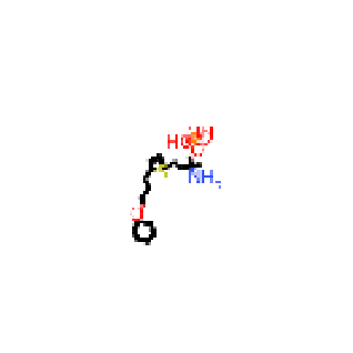 CC(N)(CCc1ccc(CCCCOc2ccccc2)s1)COP(=O)(O)O